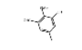 COc1c(O)cc(C)cc1C=O